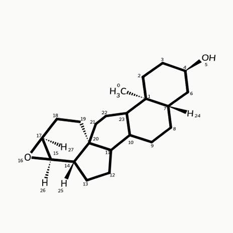 C[C@]12CC[C@@H](O)C[C@@H]1CCC1C3CC[C@@H]4[C@H]5O[C@H]5CC[C@]34CCC12